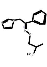 CC(CO/N=C(/Cn1ccnc1)c1ccccc1)C(=O)O